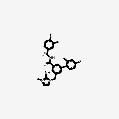 Cc1cc([C@@H](C)NC(=O)c2cc(Cn3ccn(C)c3=N)cc(-c3ccc(F)cc3C)c2)ccc1F